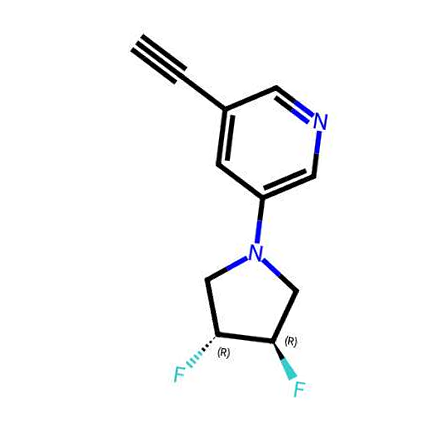 C#Cc1cncc(N2C[C@@H](F)[C@H](F)C2)c1